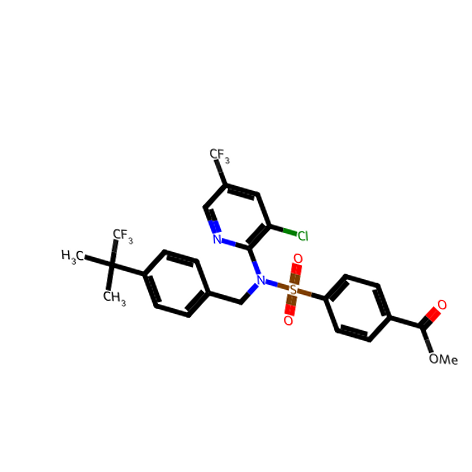 COC(=O)c1ccc(S(=O)(=O)N(Cc2ccc(C(C)(C)C(F)(F)F)cc2)c2ncc(C(F)(F)F)cc2Cl)cc1